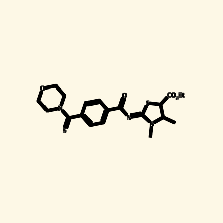 CCOC(=O)C1SC(=NC(=O)c2ccc(C(=S)N3CCOCC3)cc2)N(C)C1C